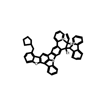 C=CC1(CC)[n+]2ccccc2-c2cc3c4cc5c(oc6cccc(CC7CCCC7)c65)c5c6ccccc6n(c3cc2C1(CC)C1c2ccccc2-c2cccc[n+]21)c45